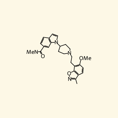 CNC(=O)c1ccc2ccn(C3CCN(CCc4c(OC)ccc5c(C)noc45)CC3)c2c1